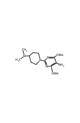 COc1nc(N2CCC(N(C)C)CC2)nc(OC)c1N